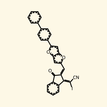 N#C/C(I)=C1\C(=C\c2cc3oc(-c4ccc(-c5ccccc5)cc4)cc3o2)C(=O)c2ccccc21